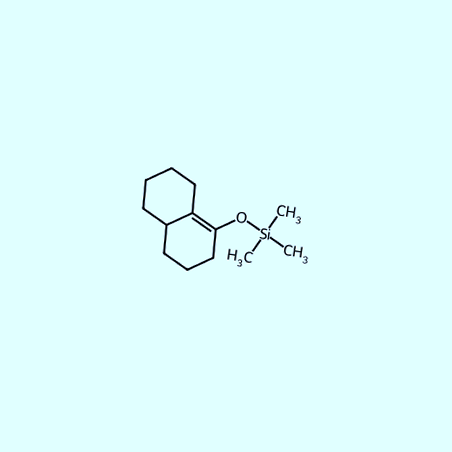 C[Si](C)(C)OC1=C2CCCCC2CCC1